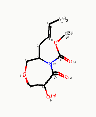 CC=CCC1COCC(O)C(=O)N1C(=O)OC(C)(C)C